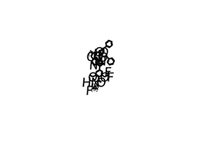 COc1cc(-c2cnn3cc(O[C@@H](C)C(C)(C)OP(=O)(OCc4ccccc4)OCc4ccccc4)cnc23)cc(OC(F)F)c1C(=O)N[C@@H]1C[C@@H]1F